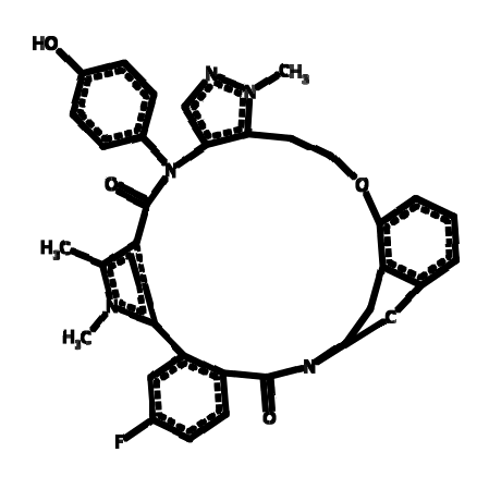 Cc1c2cc(n1C)-c1cc(F)ccc1C(=O)N1CCc3c(cccc3OCCc3c(cnn3C)N(c3ccc(O)cc3)C2=O)C1